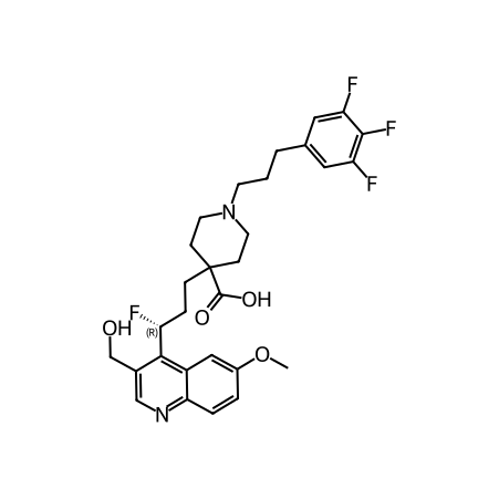 COc1ccc2ncc(CO)c([C@H](F)CCC3(C(=O)O)CCN(CCCc4cc(F)c(F)c(F)c4)CC3)c2c1